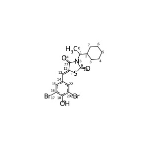 CC(C1CCCCC1)N1C(=O)S/C(=C\c2cc(Br)c(O)c(Br)c2)C1=O